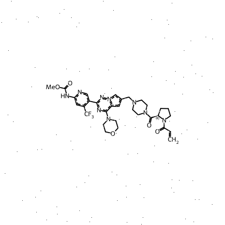 C=CC(=O)N1CCC[C@@H]1C(=O)N1CCN(Cc2cc3c(N4CCOCC4)nc(-c4cnc(NC(=O)OC)cc4C(F)(F)F)nn3c2)CC1